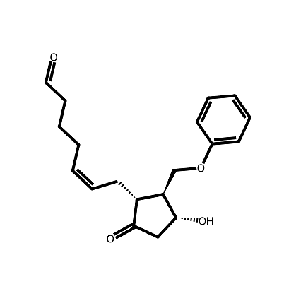 O=CCCC/C=C\C[C@H]1C(=O)C[C@@H](O)[C@@H]1COc1ccccc1